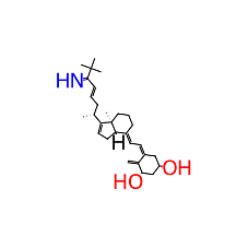 C=C1/C(=C\C=C2/CCC[C@]3(C)C([C@H](C)C/C=C/C(=N)C(C)(C)C)=CC[C@@H]23)C[C@@H](O)C[C@@H]1O